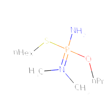 CCCCCCSP(N)(OCCC)=[N+](C)C